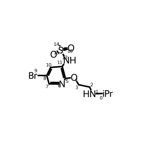 CC(C)NCCOc1ncc(Br)cc1NS(C)(=O)=O